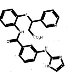 O=C(O)CC(Sc1ccccc1NC(=O)c1cccc(Nc2ncc[nH]2)c1)c1cccnc1